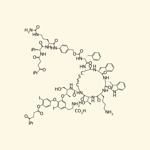 CC(C)C(=O)CCC(=O)N[C@H](C(=O)N[C@@H](CCCNC(N)=O)C(=O)Nc1ccc(COC(=O)N[C@H](Cc2ccccc2)C(=O)N[C@H]2CSSC[C@@H](C(=O)N[C@H](CO)[C@@H](C)Oc3cc(C[C@H](N)C(=O)O)cc(I)c3Oc3ccc(OC(=O)CCC(=O)C(C)C)c(I)c3)NC(=O)C([C@@H](C)O)NC(=O)[C@H](CCCCN)NC(=O)[C@@H](Cc3c[nH]c4ccccc34)NC(=O)[C@H](Cc3ccccc3)NC2=O)cc1)C(C)C